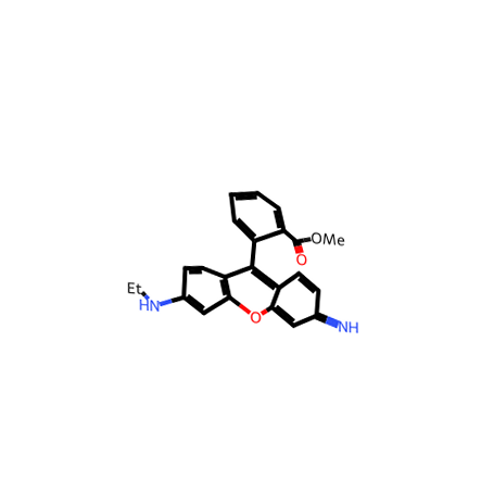 CCNc1ccc2c(-c3ccccc3C(=O)OC)c3ccc(=N)cc-3oc2c1